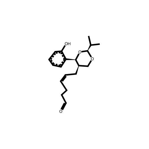 CC(C)[C@H]1OC[C@@H](C/C=C\CCC=O)[C@@H](c2ccccc2O)O1